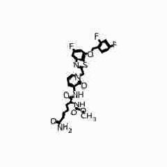 COC(=O)NC(CC/C=C/C(N)=O)C(=O)Nc1cccn(Cc2nc3cc(F)cc(OCc4ccc(F)cc4F)c3s2)c1=O